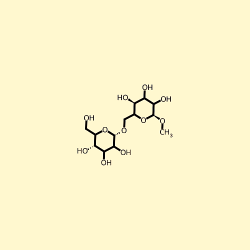 CO[C@H]1OC(CO[C@H]2OC(CO)[C@@H](O)C(O)C2O)[C@@H](O)C(O)C1O